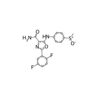 C[S+]([O-])c1ccc(Nc2oc(-c3cc(F)ccc3F)nc2C(N)=O)cc1